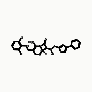 CC(=O)N(Sc1nc(-c2ccccc2)cs1)C1C(=O)N2C(C(=O)O)=C(CNc3c(Cl)cccc3Cl)CS[C@@H]12